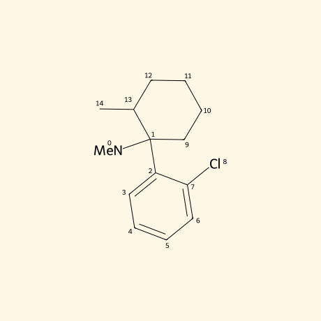 CNC1(c2ccccc2Cl)CCCCC1C